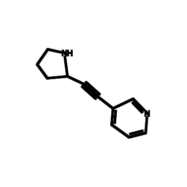 C(#CC1CCCN1)c1cccnc1